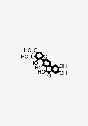 O=C(O)c1cc2oc3cc4c(c(O)c3c2c(O)c1C(=O)O)C(O)C(=O)c1cc(O)c(O)cc1-4